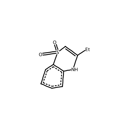 CCC1=CS(=O)(=O)c2ccccc2N1